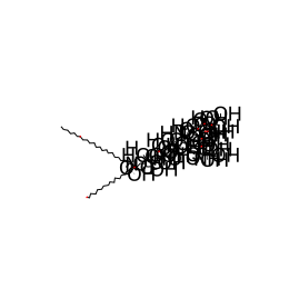 CCCCCCCCCCCCC/C=C/[C@@H](O)[C@H](CO[C@@H]1OC(CO)[C@@H](O[C@@H]2OC(CO)[C@H](O[C@@H]3OC(CO)[C@H](O)[C@H](O[C@@H]4OC(CO)[C@H](O)[C@H](O[C@@H]5OC(CO[C@]6(C(=O)O)CC(O)[C@@H](NC(C)=O)C([C@H](O)[C@H](O)CO)O6)[C@H](O)[C@H](O[C@]6(C(=O)O)CC(O)[C@@H](NC(C)=O)C([C@H](O)[C@H](O)CO)O6)C5O)C4NC(C)=O)C3O)[C@H](O)C2O)[C@H](O)C1O)NC(=O)CCCCCCCCCCCCCCCCCCCCC